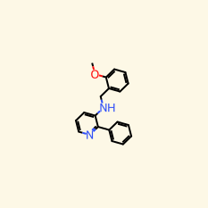 COc1ccccc1CNc1cccnc1-c1ccccc1